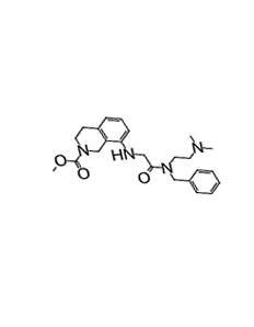 COC(=O)N1CCc2cccc(NCC(=O)N(CCN(C)C)Cc3ccccc3)c2C1